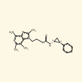 Cc1nc(N)c2nc(C)n(CCNC(=O)N[C@@H]3C[C@H]3c3ccccc3)c2c1C